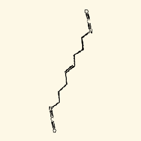 O=C=NCCCC=CCCCN=C=O